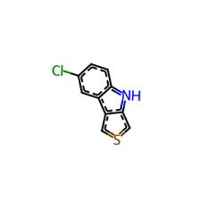 Clc1ccc2[nH]c3cscc3c2c1